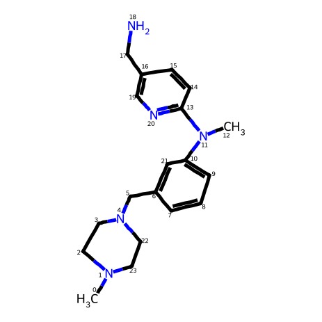 CN1CCN(Cc2cccc(N(C)c3ccc(CN)cn3)c2)CC1